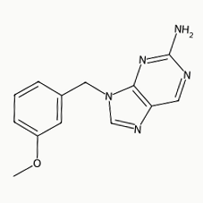 COc1cccc(Cn2cnc3cnc(N)nc32)c1